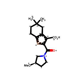 CO[C@@H]1CCN(C(=O)c2sc3c(c2C(=O)O)CC(C)(C)CC3)C1